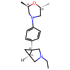 CCN1C[C@H]2C[C@@]2(c2ccc(N3C[C@@H](C)O[C@H](C)C3)cc2)C1